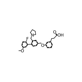 COc1ccc(F)c(-c2ccc(COc3cccc(CCC(=O)O)c3)cc2CN2CCCC2)c1